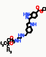 COC(=O)c1ccc2c(-c3cc4cc(CNCCNC(=O)OC(C)(C)C)ccc4[nH]3)n[nH]c2c1